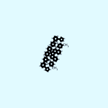 Cc1ccc(N(c2cc3c(c4ccccc24)-c2c(cc(N(c4ccc(C)cc4)c4cccc5c4oc4c(C6CCCC6)cccc45)c4ccccc24)C3(c2ccccc2)c2ccccc2)c2cccc3c2oc2c(C4CCCC4)cccc23)cc1